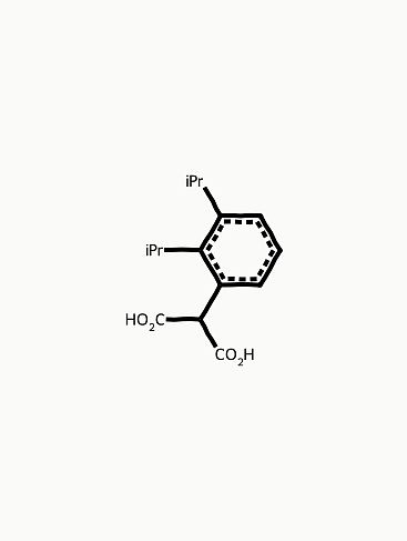 CC(C)c1cccc(C(C(=O)O)C(=O)O)c1C(C)C